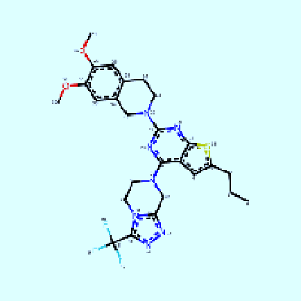 CCCc1cc2c(N3CCn4c(nnc4C(F)(F)F)C3)nc(N3CCc4cc(OC)c(OC)cc4C3)nc2s1